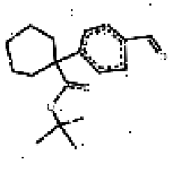 CC(C)(C)OC(=O)C1(c2ccc(C=O)cc2)CCCCC1